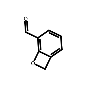 O=Cc1cccc2c1OC2